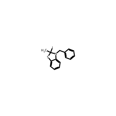 CC1(I)Sc2ccccc2N1Cc1ccccc1